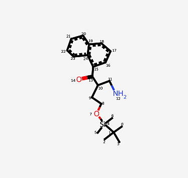 CC(C)(C)[Si](C)(C)OCCC(CN)C(=O)c1cccc2ccccc12